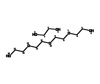 OCCO.OCCOCCOCCOCCO